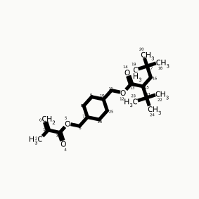 C=C(C)C(=O)OCC1CCC(COC(=O)C(CC(C)(C)C)C(C)(C)C)CC1